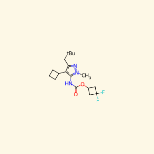 Cn1nc(CC(C)(C)C)c(C2CCC2)c1NC(=O)OC1CC(F)(F)C1